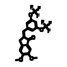 COc1cc2c(cc1OC)C(=O)C(=Cc1cc(OC(F)(F)F)cc(OC(F)(F)F)c1)C2